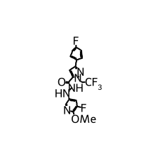 COc1ncc(NNC(=O)c2cc(-c3ccc(F)cc3)nn2CC(F)(F)F)cc1F